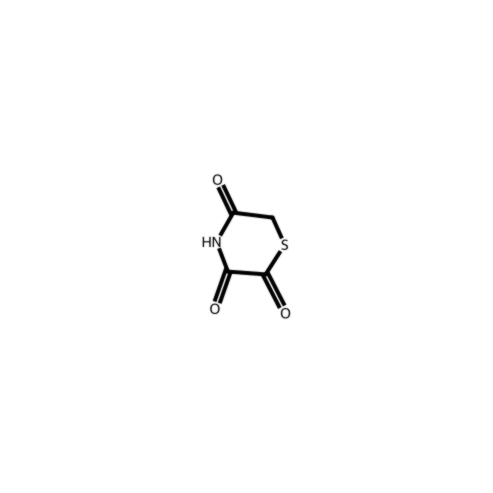 O=C1CSC(=O)C(=O)N1